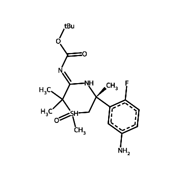 CC(C)(C)OC(=O)/N=C1\N[C@](C)(c2cc(N)ccc2F)C[SH](C)(=O)C1(C)C